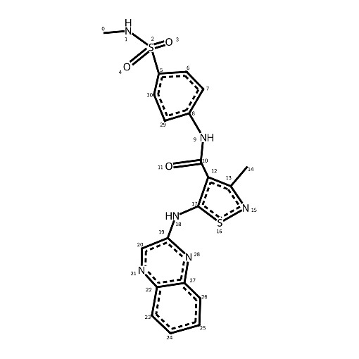 CNS(=O)(=O)c1ccc(NC(=O)c2c(C)nsc2Nc2cnc3ccccc3n2)cc1